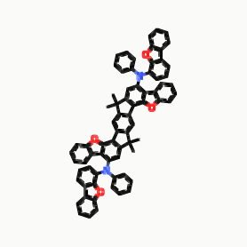 CC1(C)c2cc3c(cc2-c2c1cc(N(c1ccccc1)c1cccc4c1oc1ccccc14)c1c2oc2ccccc21)C(C)(C)c1cc(N(c2ccccc2)c2cccc4c2oc2ccccc24)c2c(oc4ccccc42)c1-3